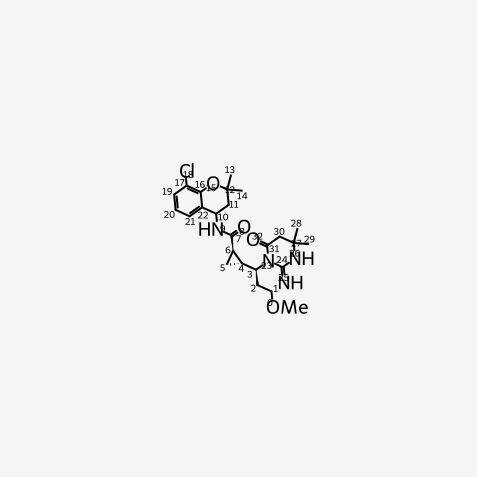 COCC[C@@H]([C@@H]1C[C@H]1C(=O)NC1CC(C)(C)Oc2c(Cl)cccc21)N1C(=N)NC(C)(C)CC1=O